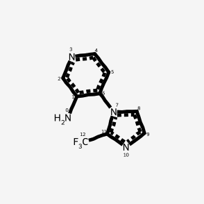 Nc1cnccc1-n1ccnc1C(F)(F)F